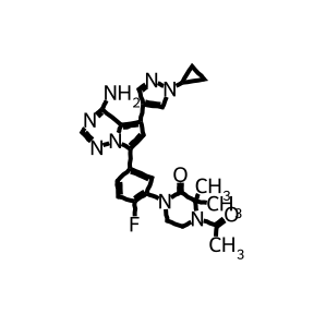 CC(=O)N1CCN(c2cc(-c3cc(-c4cnn(C5CC5)c4)c4c(N)ncnn34)ccc2F)C(=O)C1(C)C